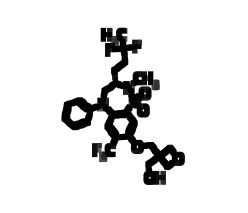 CN1[C@H](CCC(C)(F)F)CN(c2ccccc2)c2cc(C(F)(F)F)c(OCC3(CO)COC3)cc2S1(=O)=O